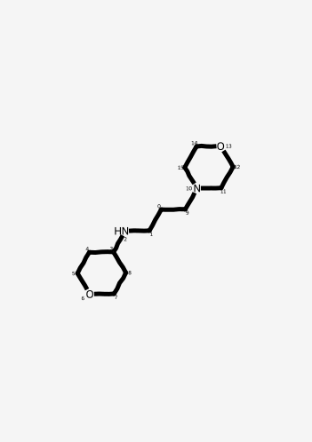 C(CNC1CCOCC1)CN1CCOCC1